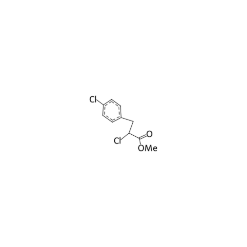 COC(=O)C(Cl)Cc1ccc(Cl)cc1